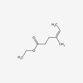 CC=C(C)CCC(=O)OCC